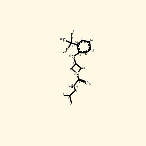 CC(C)CNC(=O)N1CC(Oc2ccccc2C(F)(F)F)C1